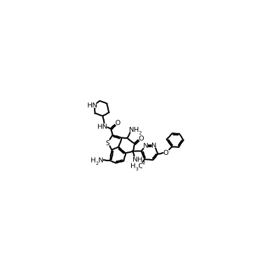 Cc1cc(Oc2ccccc2)nnc1C1(N)C(=O)C(N)c2c(C(=O)NC3CCCNC3)sc3c(N)ccc1c23